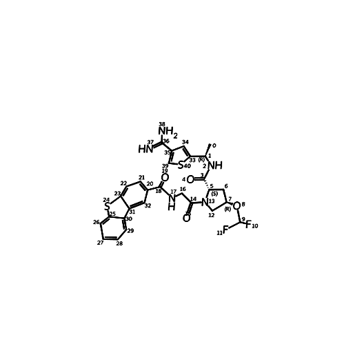 C[C@@H](NC(=O)[C@@H]1C[C@@H](OC(F)F)CN1C(=O)CNC(=O)c1ccc2sc3ccccc3c2c1)c1cc(C(=N)N)cs1